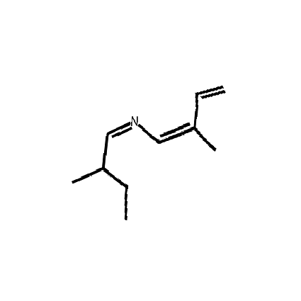 C=C/C(C)=C\N=C/C(C)CC